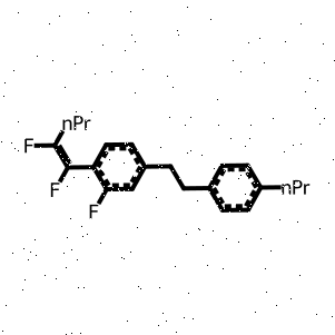 CCC/C(F)=C(/F)c1ccc(CCc2ccc(CCC)cc2)cc1F